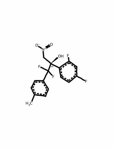 Cc1ccc(C(F)(F)[C@](O)(C[N+](=O)[O-])c2ccc(F)cc2F)cc1